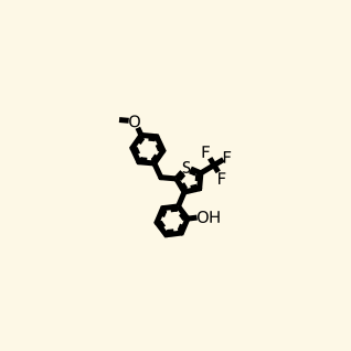 COc1ccc(Cc2sc(C(F)(F)F)cc2-c2ccccc2O)cc1